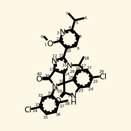 COc1nc(C(C)C)ccc1-c1nc2c(n1C(C)C)C1(C(=O)Nc3cc(Cl)ccc31)N(c1cc(Cl)ccc1C)C2=O